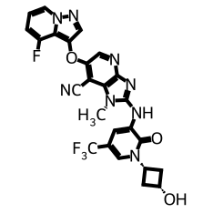 Cn1c(Nc2cc(C(F)(F)F)cn([C@H]3C[C@@H](O)C3)c2=O)nc2ncc(Oc3cnn4cccc(F)c34)c(C#N)c21